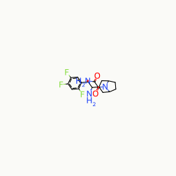 NC(=O)C(=O)N1C2CCC1CC([C@@H](N)Cc1cc(F)c(F)cc1F)C2